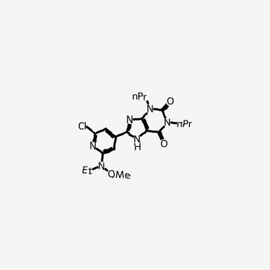 CCCn1c(=O)c2[nH]c(-c3cc(Cl)nc(N(CC)OC)c3)nc2n(CCC)c1=O